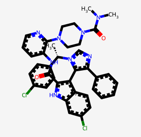 C[C@@H](c1ccc(Cl)cc1)n1cnc(-c2ccccc2)c1-c1c(C(=O)Nc2cccnc2N2CCN(C(=O)N(C)C)CC2)[nH]c2cc(Cl)ccc12